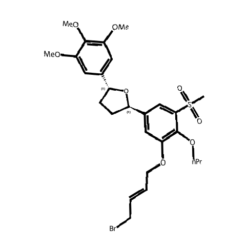 CCCOc1c(OCC=CCBr)cc([C@H]2CC[C@H](c3cc(OC)c(OC)c(OC)c3)O2)cc1S(C)(=O)=O